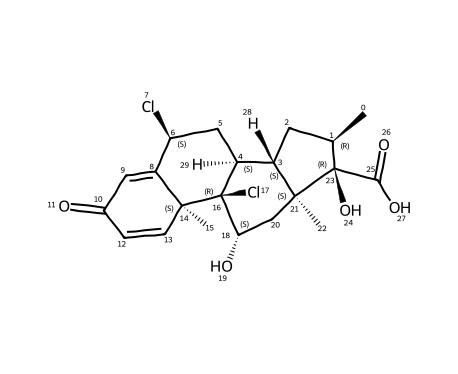 C[C@@H]1C[C@H]2[C@@H]3C[C@H](Cl)C4=CC(=O)C=C[C@]4(C)[C@@]3(Cl)[C@@H](O)C[C@]2(C)[C@@]1(O)C(=O)O